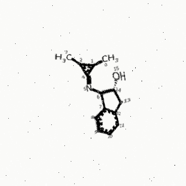 Cc1c(C)c1=NC1c2ccccc2C[C@H]1O